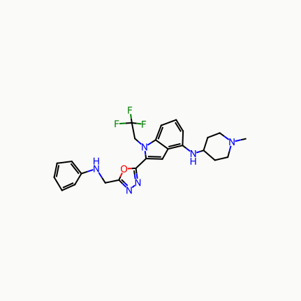 CN1CCC(Nc2cccc3c2cc(-c2nnc(CNc4ccccc4)o2)n3CC(F)(F)F)CC1